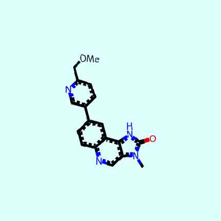 COCc1ccc(-c2ccc3ncc4c([nH]c(=O)n4C)c3c2)cn1